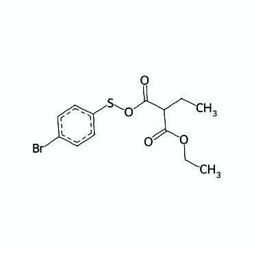 CCOC(=O)C(CC)C(=O)OSc1ccc(Br)cc1